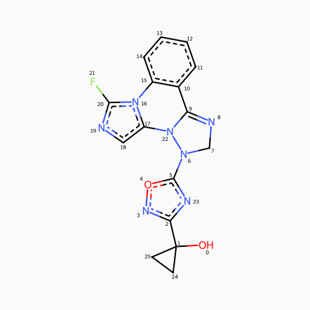 OC1(c2noc(N3CN=C4c5ccccc5-n5c(cnc5F)N43)n2)CC1